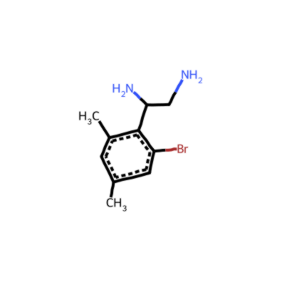 Cc1cc(C)c(C(N)CN)c(Br)c1